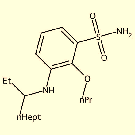 CCCCCCCC(CC)Nc1cccc(S(N)(=O)=O)c1OCCC